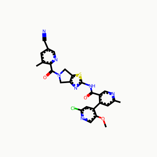 COc1cnc(Cl)cc1-c1cc(C)ncc1C(=O)Nc1nc2c(s1)CN(C(=O)c1ncc(C#N)cc1C)C2